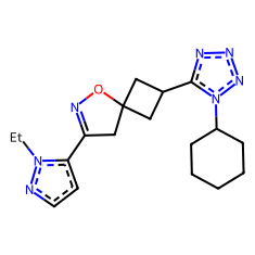 CCn1nccc1C1=NOC2(C1)CC(c1nnnn1C1CCCCC1)C2